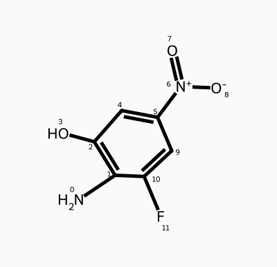 Nc1c(O)cc([N+](=O)[O-])cc1F